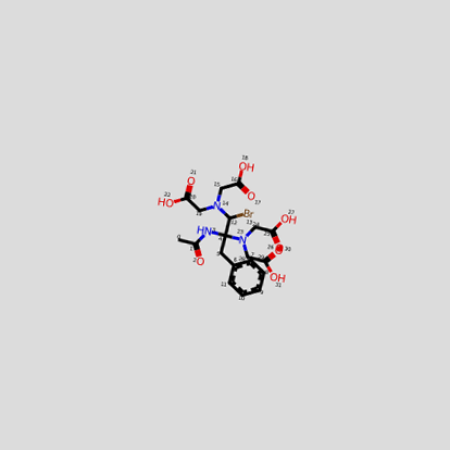 CC(=O)NC(Cc1ccccc1)(C(Br)N(CC(=O)O)CC(=O)O)N(CC(=O)O)CC(=O)O